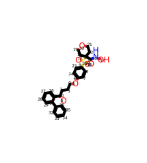 O=C(CCCOc1ccc(S(=O)(=O)C2(C(=O)NO)CCOCC2)cc1)c1ccccc1-c1ccccc1